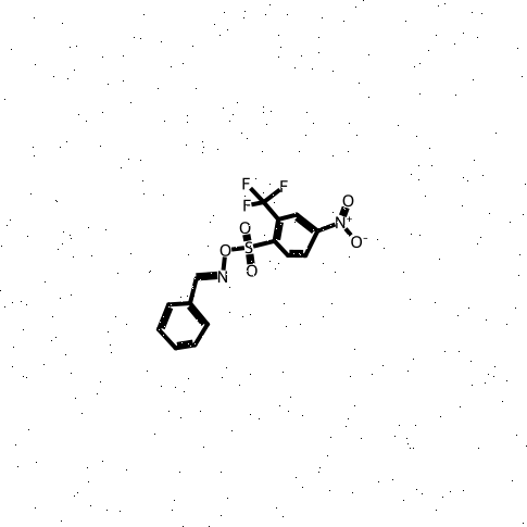 O=[N+]([O-])c1ccc(S(=O)(=O)ON=Cc2ccccc2)c(C(F)(F)F)c1